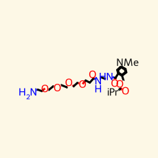 CNc1ccc(COC(=O)C(C)C)c(C(=O)NCCNC(=O)CCOCCOCCOCCOCCN)c1